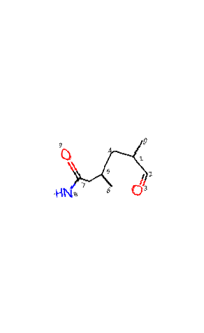 CC(C=O)CC(C)C([NH])=O